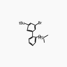 C[SiH](C)Oc1ccccc1-c1cc(Br)cc(C(C)(C)C)c1